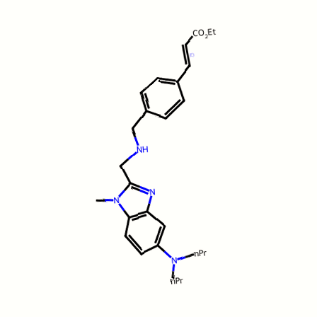 CCCN(CCC)c1ccc2c(c1)nc(CNCc1ccc(/C=C/C(=O)OCC)cc1)n2C